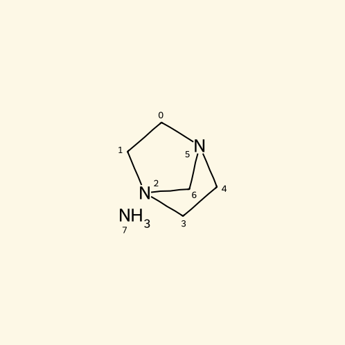 C1CN2CCN1C2.N